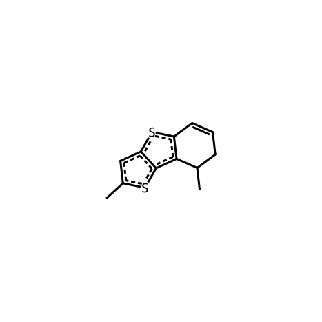 Cc1cc2sc3c(c2s1)C(C)CC=C3